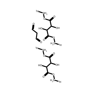 O=[C]CC=O.[2H][SiH2]OC(=O)C(O)C(O)C(=O)O[SiH2][2H].[2H][SiH2]OC(=O)C(O)C(O)C(=O)O[SiH2][2H]